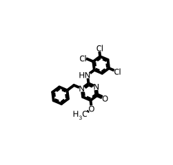 COc1cn(Cc2ccccc2)c(Nc2cc(Cl)cc(Cl)c2Cl)nc1=O